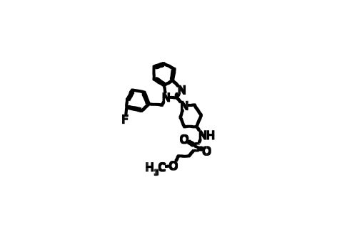 COCCS(=O)(=O)NC1CCN(c2nc3ccccc3n2Cc2cccc(F)c2)CC1